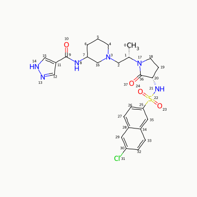 C[C@@H](CN1CCCC(NC(=O)c2cn[nH]c2)C1)N1CC[C@H](NS(=O)(=O)c2ccc3cc(Cl)ccc3c2)C1=O